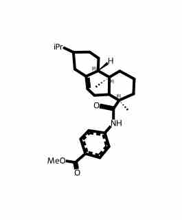 COC(=O)c1ccc(NC(=O)[C@]2(C)CCC[C@@]3(C)C2CC=C2CC(C(C)C)CC[C@@H]23)cc1